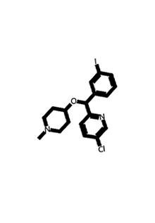 CN1CCC(OC(c2cccc(I)c2)c2ccc(Cl)cn2)CC1